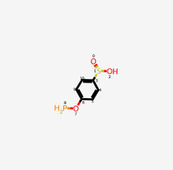 O=S(O)c1ccc(OP)cc1